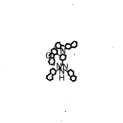 c1ccc2cc(C3=NC(c4ccc(-n5c6ccccc6c6cc7ccccc7cc65)c(-c5cccc6oc7ccccc7c56)c4)=NC(c4ccc5ccccc5c4)N3)ccc2c1